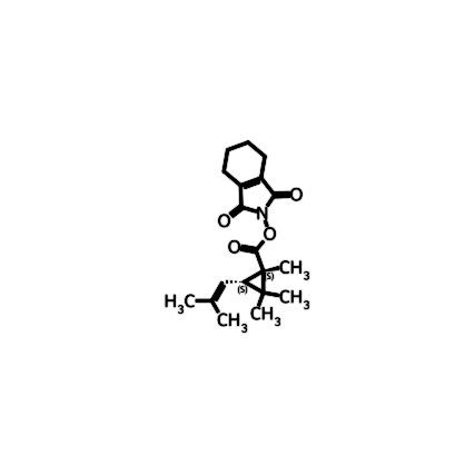 CC(C)=C[C@H]1C(C)(C)[C@@]1(C)C(=O)ON1C(=O)C2=C(CCCC2)C1=O